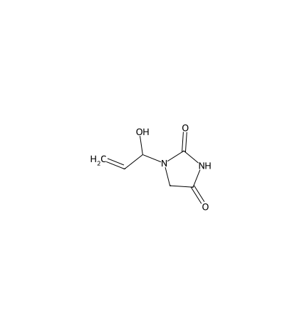 C=CC(O)N1CC(=O)NC1=O